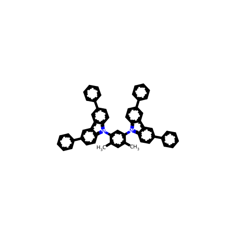 Cc1cc(C)c(-n2c3ccc(-c4ccccc4)cc3c3cc(-c4ccccc4)ccc32)cc1-n1c2ccc(-c3ccccc3)cc2c2cc(-c3ccccc3)ccc21